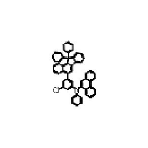 Clc1cc(-c2cc3c(c4ccccc24)C(c2ccccc2)(c2ccccc2)c2ccccc2-3)cc(N(c2ccccc2)c2cc3ccccc3c3ccccc23)c1